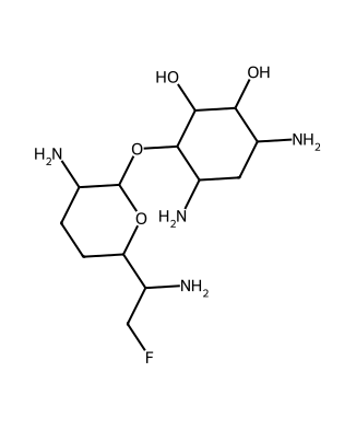 NC(CF)C1CCC(N)C(OC2C(N)CC(N)C(O)C2O)O1